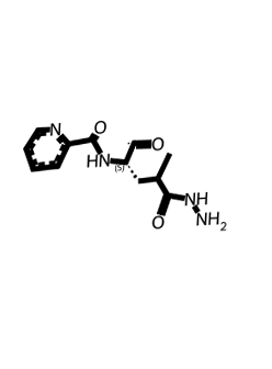 CC(C[C@@H]([C]=O)NC(=O)c1ccccn1)C(=O)NN